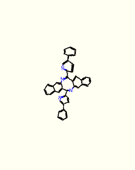 c1ccc(-c2ccc(/C3=N/c4cc5ccccc5cc4/C(c4ccc(-c5ccccc5)cn4)=N\c4cc5ccccc5cc43)nc2)cc1